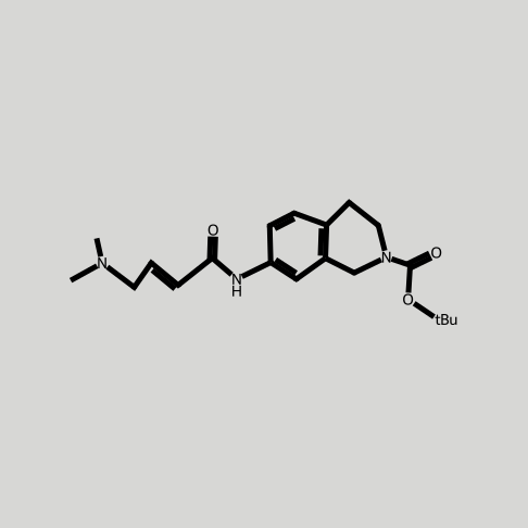 CN(C)C/C=C/C(=O)Nc1ccc2c(c1)CN(C(=O)OC(C)(C)C)CC2